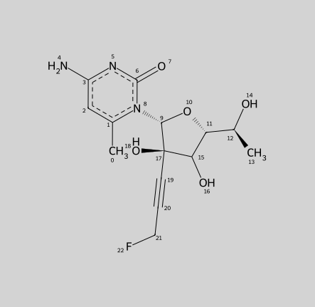 Cc1cc(N)nc(=O)n1[C@@H]1O[C@H]([C@H](C)O)C(O)[C@]1(O)C#CCF